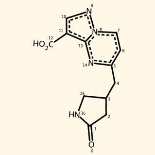 O=C1CC(Cc2ccn3ncc(C(=O)O)c3n2)CN1